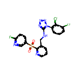 O=S(=O)(c1ccc(F)nc1)c1ncccc1CNc1nnnn1-c1cccc(Cl)c1Cl